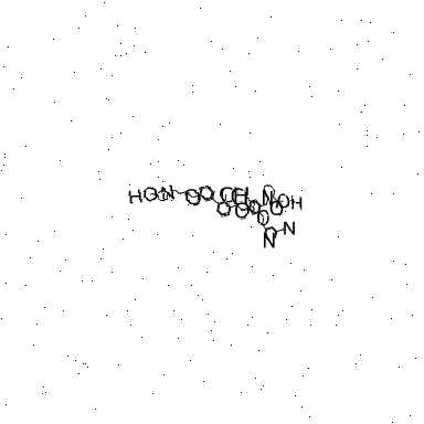 Cc1c(COc2cc(OCc3cncc(C#N)c3)c(CN3CCCCC3C(=O)O)cc2Cl)cccc1-c1cccc(OCCCN2CCC(O)C2)c1